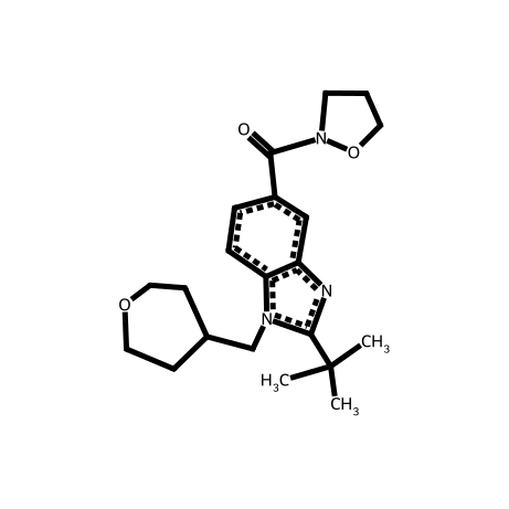 CC(C)(C)c1nc2cc(C(=O)N3CCCO3)ccc2n1CC1CCOCC1